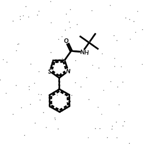 CC(C)(C)NC(=O)c1csc(-c2ccccc2)n1